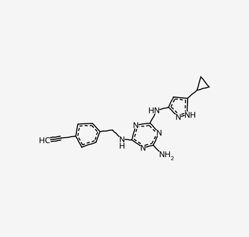 C#Cc1ccc(CNc2nc(N)nc(Nc3cc(C4CC4)[nH]n3)n2)cc1